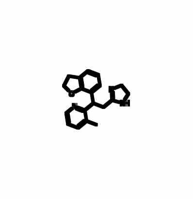 Cc1cccnc1C(CC1=NCCN1)c1cccc2c1OCC2